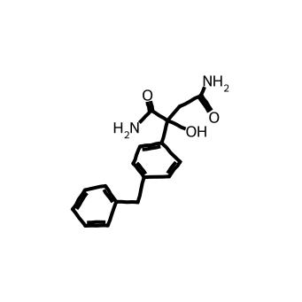 NC(=O)CC(O)(C(N)=O)c1ccc(Cc2ccccc2)cc1